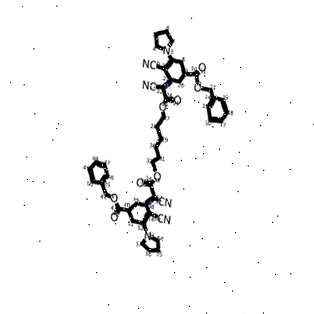 N#CC1=C(N2CCCC2)CC(C(=O)OCc2ccccc2)C/C1=C(/C#N)C(=O)OCCCCCCOC(=O)/C(C#N)=C1\CC(C(=O)OCc2ccccc2)CC(N2CCCC2)=C1C#N